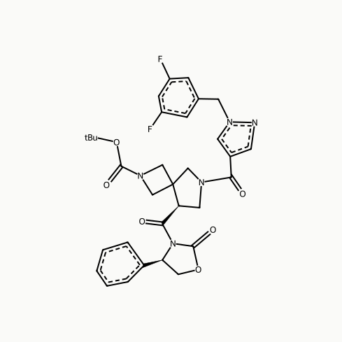 CC(C)(C)OC(=O)N1CC2(C1)CN(C(=O)c1cnn(Cc3cc(F)cc(F)c3)c1)C[C@H]2C(=O)N1C(=O)OC[C@H]1c1ccccc1